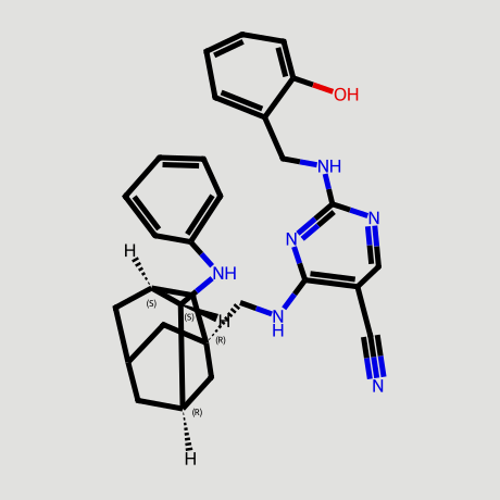 N#Cc1cnc(NCc2ccccc2O)nc1NC[C@@]12CC3C[C@H](C1)[C@@H](Nc1ccccc1)[C@@H](C3)C2